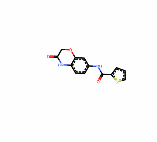 O=C1COc2cc(NC(=O)c3cccs3)ccc2N1